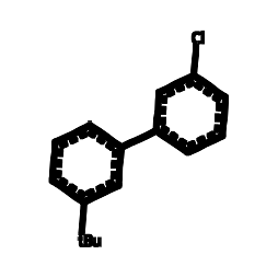 CC(C)(C)c1cc[c]c(-c2cccc(Cl)c2)c1